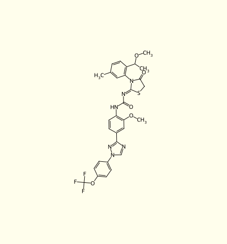 COc1cc(-c2ncn(-c3ccc(OC(F)(F)F)cc3)n2)ccc1NC(=O)/N=C1\SCC(=O)N1c1cc(C)ccc1C(C)OC